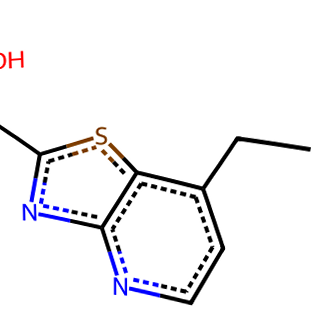 CCc1ccnc2nc(CO)sc12